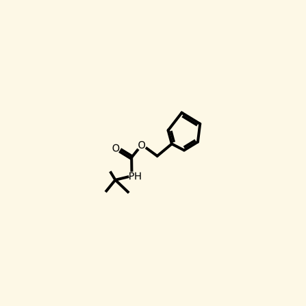 CC(C)(C)PC(=O)OCc1ccccc1